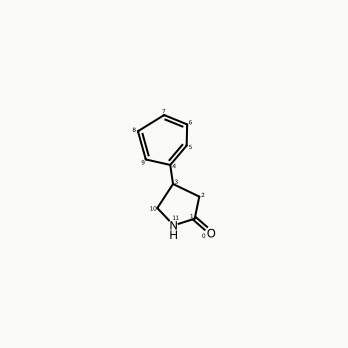 O=C1CC(c2ccccc2)CN1